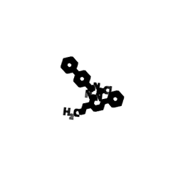 C=C/C=C(\C=C/Cc1ccccc1)c1nc(Cl)nc(-c2ccc(-c3ccccc3)cc2)n1